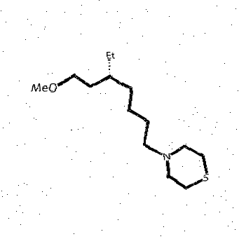 CC[C@H](CCCCN1CCSCC1)CCOC